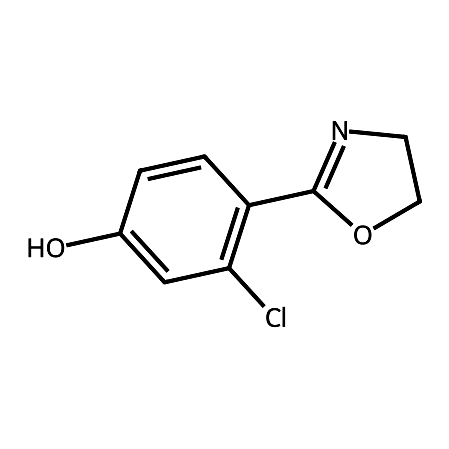 Oc1ccc(C2=NCCO2)c(Cl)c1